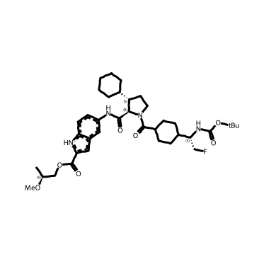 CO[C@@H](C)COC(=O)c1cc2cc(NC(=O)[C@H]3[C@H](C4CCCCC4)CCN3C(=O)C3CCC([C@@H](CF)NC(=O)OC(C)(C)C)CC3)ccc2[nH]1